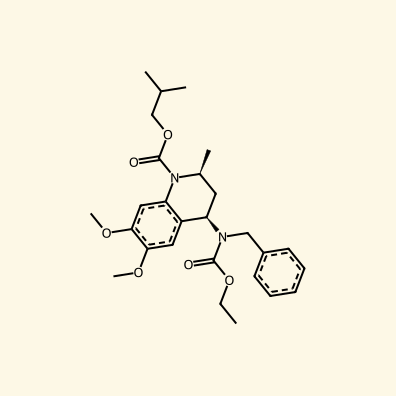 CCOC(=O)N(Cc1ccccc1)[C@@H]1C[C@H](C)N(C(=O)OCC(C)C)c2cc(OC)c(OC)cc21